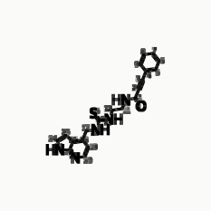 O=C(C#Cc1ccccc1)NCCNC(=S)NCc1ccnc2[nH]ccc12